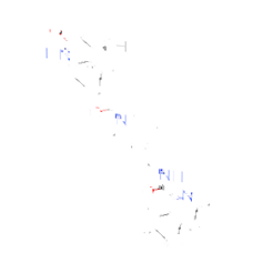 Cc1cc(=O)[nH]c2ccc(CC(=O)N3CCC(CCNC(=O)c4nccc5ccccc45)CC3)cc12